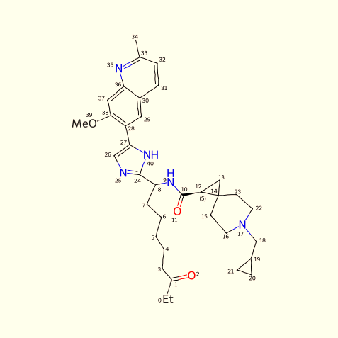 CCC(=O)CCCCCC(NC(=O)[C@H]1CC12CCN(CC1CC1)CC2)c1ncc(-c2cc3ccc(C)nc3cc2OC)[nH]1